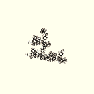 NC(=O)c1nc(Cn2nc(-c3ccc(Cl)cc3)n(C[CH]([Ca+])C(F)(F)F)c2=O)nn1-c1ncccc1Cl.NC(=O)c1nc(Cn2nc(-c3ccc(Cl)cc3)n(C[CH]([Ca+])C(F)(F)F)c2=O)nn1-c1ncccc1Cl.NC(=O)c1nc(Cn2nc(-c3ccc(Cl)cc3)n(C[CH]([Ca+])C(F)(F)F)c2=O)nn1-c1ncccc1Cl.O=P([O-])([O-])[O-]